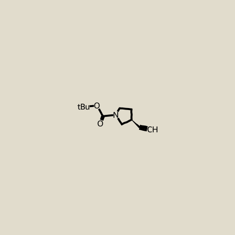 C#C[C@@H]1CCN(C(=O)OC(C)(C)C)C1